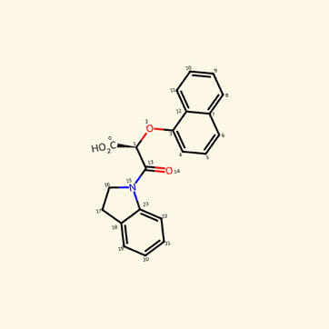 O=C(O)[C@@H](Oc1cccc2ccccc12)C(=O)N1CCc2ccccc21